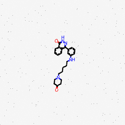 O=C1CCN(CCCCCNc2cccc(-c3n[nH]c(=O)c4ccccc34)c2)CC1